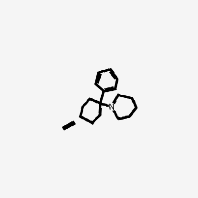 C=C.c1ccc(C2(N3CCCCC3)CCCCC2)cc1